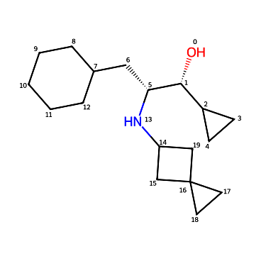 O[C@H](C1CC1)[C@@H](CC1CCCCC1)NC1CC2(CC2)C1